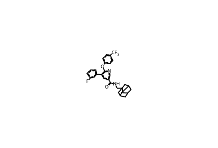 O=C(NCC12CC3CC(CC(C3)C1)C2)c1cnc(Oc2ccc(C(F)(F)F)cc2)c(-c2cccc(F)c2)c1